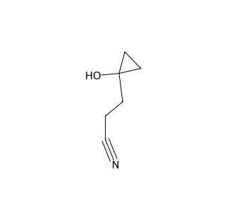 N#CCCC1(O)CC1